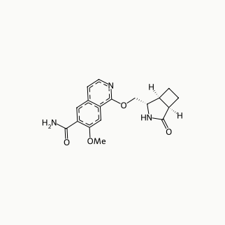 COc1cc2c(OC[C@H]3NC(=O)[C@@H]4CC[C@H]34)nccc2cc1C(N)=O